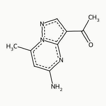 CC(=O)c1cnn2c(C)cc(N)nc12